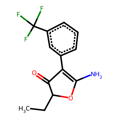 CCC1OC(N)=C(c2cccc(C(F)(F)F)c2)C1=O